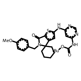 COc1ccc(CN2C(=O)c3sc(Nc4cc(NC(=O)OC(C)(C)C)ncn4)cc3C23CCCCC3)cc1